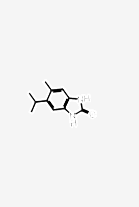 Cc1cc2[nH]c(=O)[nH]c2cc1C(C)C